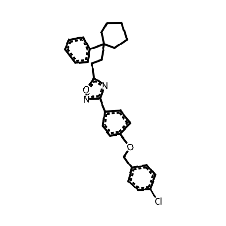 Clc1ccc(COc2ccc(-c3noc(CCC4(c5ccccc5)CCCCC4)n3)cc2)cc1